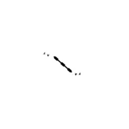 OOOC#CC#CC#COOO